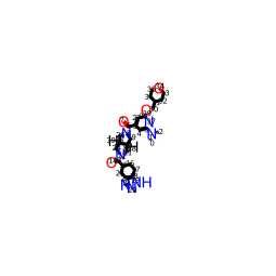 CN(C)c1cc(C(=O)N2C[C@@H]3CN(C(=O)C4CCc5[nH]nnc5C4)C[C@H]3C2)cc(OCC2CCOCC2)n1